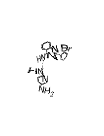 Nc1ccc(NCCCNc2nc(-c3ccccc3Br)nc3ccccc23)nc1